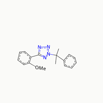 COc1ccccc1-c1nnn(C(C)(C)c2ccccc2)n1